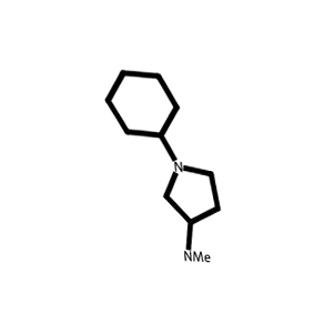 CNC1CCN(C2CCCCC2)C1